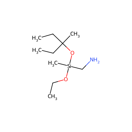 CCO[Si](C)(CN)OC(C)(CC)CC